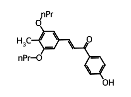 CCCOc1cc(C=CC(=O)c2ccc(O)cc2)cc(OCCC)c1C